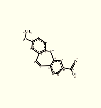 COc1ccc2c(c1)C=Cc1ccc(C(=O)O)cc1S2